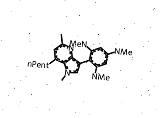 CC[CH]CCc1cc(C)nc2c(-c3c(NC)cc(NC)cc3NC)cn(C)c12